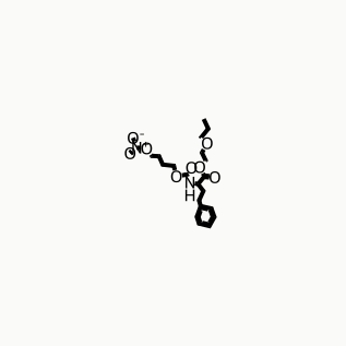 CCCOCCOC(=O)C(CCc1ccccc1)NC(=O)OCCCCO[N+](=O)[O-]